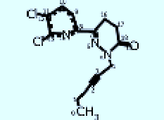 CCC#CCN1N=C(c2ccc(Cl)c(Cl)n2)CCC1=O